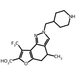 CC1Cc2oc(C(=O)O)c(C(F)(F)F)c2-c2nn(CC3CCNCC3)cc21